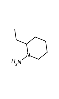 CCC1CCCCN1N